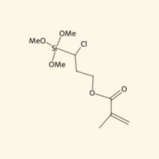 C=C(C)C(=O)OCCC(Cl)[Si](OC)(OC)OC